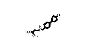 CC(C)CCNCc1ccc(-c2ccc(Cl)cc2)cc1